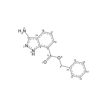 Nc1n[nH]c2c(C(=O)OCc3ccccc3)cccc12